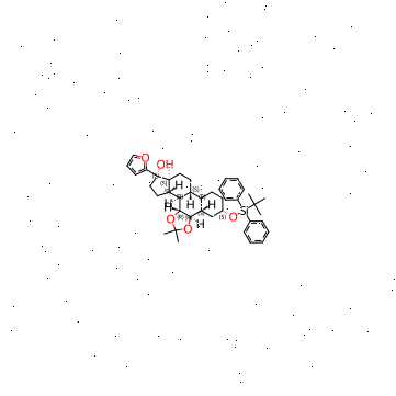 CC1(C)O[C@H]2[C@H](O1)[C@H]1C[C@@H](O[Si](c3ccccc3)(c3ccccc3)C(C)(C)C)CC[C@]1(C)[C@H]1CC[C@@]3(C)[C@@H](CC[C@@]3(O)c3ccco3)[C@H]21